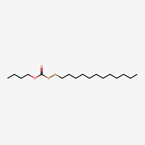 CCCCCCCCCCCCSSC(=O)OCCCC